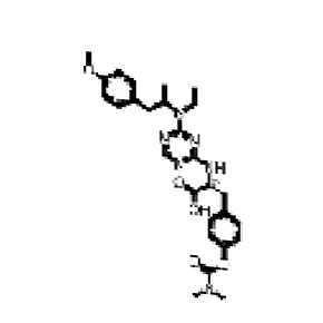 CCN(c1ncnc(N[C@@H](Cc2ccc(OC(=O)N(C)C)cc2)C(=O)O)n1)C(C)Cc1ccc(OC)cc1